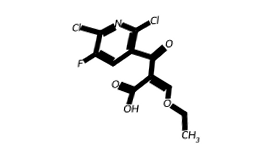 CCO/C=C(\C(=O)O)C(=O)c1cc(F)c(Cl)nc1Cl